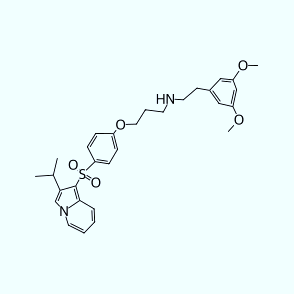 COc1cc(CCNCCCOc2ccc(S(=O)(=O)c3c(C(C)C)cn4ccccc34)cc2)cc(OC)c1